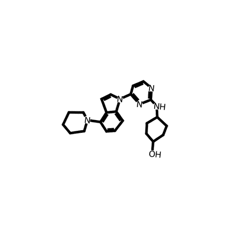 OC1CCC(Nc2nccc(-n3ccc4c(N5CCCCC5)cccc43)n2)CC1